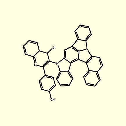 CCC1C(n2c3ccccc3c3c4c5c6ccccc6ccc5n5c6ccccc6c(cc32)c45)=C(c2ccc(C#N)cc2)N=C2C=CC=CC21